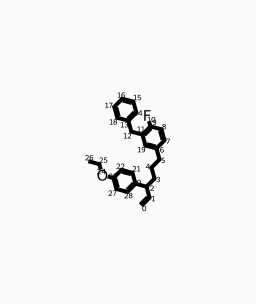 C=CC(CCCc1ccc(F)c(Cc2ccccc2)c1)c1ccc(OCC)cc1